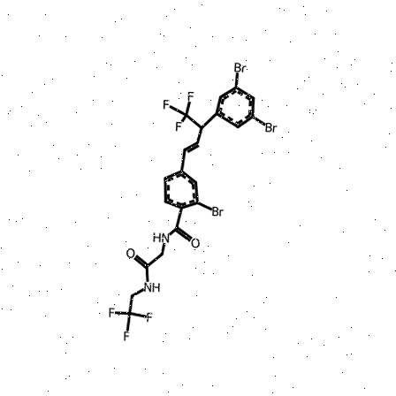 O=C(CNC(=O)c1ccc(/C=C/C(c2cc(Br)cc(Br)c2)C(F)(F)F)cc1Br)NCC(F)(F)F